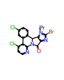 CC(C)n1c(Br)nc2c1C1c3ccc(Cl)cc3-c3c(Cl)ccnc3N1C2=O